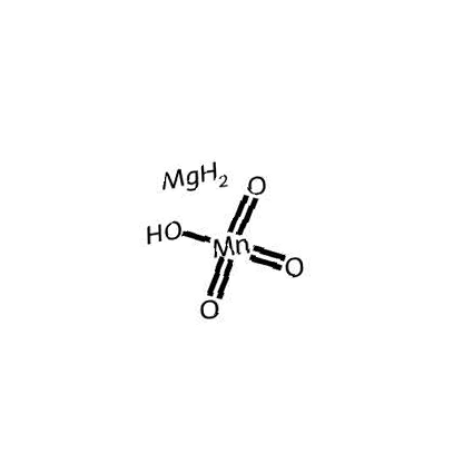 [MgH2].[O]=[Mn](=[O])(=[O])[OH]